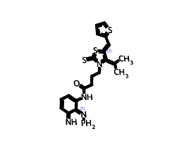 CC(C)=c1/c(=C/c2cccs2)sc(=S)n1CCCC(=O)NC1=CC=CC(=N)/C1=N\P